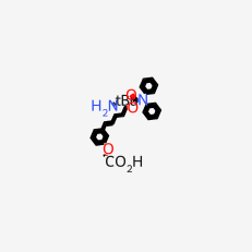 CC(C)(C)N.O=C(O)COc1cccc(C=CCCCOC(=O)N(c2ccccc2)c2ccccc2)c1